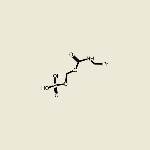 CC(C)CNC(=O)OCOP(=O)(O)O